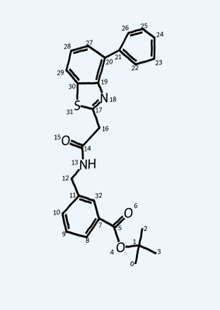 CC(C)(C)OC(=O)c1cccc(CNC(=O)Cc2nc3c(-c4ccccc4)cccc3s2)c1